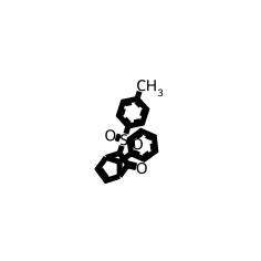 Cc1ccc(S(=O)(=O)C2C(=O)C3C=CC2C3c2ccccc2)cc1